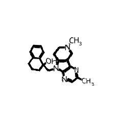 Cc1cnc2c(n1)c1c(n2CC2(O)CCCc3ccccc32)CCN(C)C1